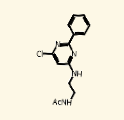 CC(=O)NCCNc1cc(Cl)nc(-c2ccccc2)n1